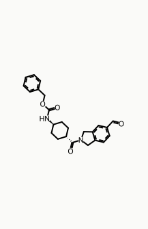 O=Cc1ccc2c(c1)CN(C(=O)[C@H]1CC[C@H](NC(=O)OCc3ccccc3)CC1)C2